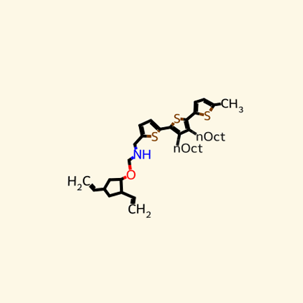 C=CC1CC(C=C)C(OCNCc2ccc(-c3sc(-c4ccc(C)s4)c(CCCCCCCC)c3CCCCCCCC)s2)C1